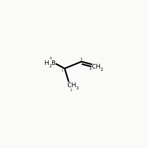 BC(C)C=C